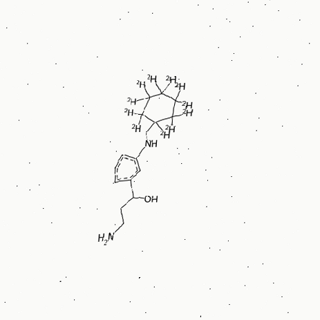 [2H]C1([2H])C([2H])([2H])C([2H])([2H])C([2H])(CNc2cccc(C(O)CCN)c2)C([2H])([2H])C1([2H])[2H]